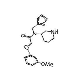 COc1cccc(OCC(=O)N(Cc2cccs2)C2CCCNC2)c1